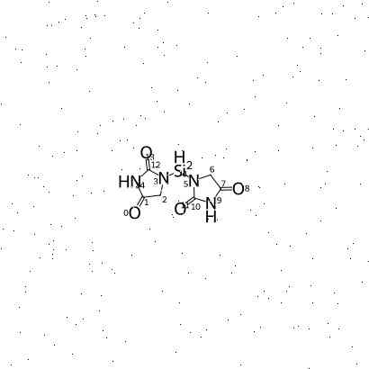 O=C1CN([SiH2]N2CC(=O)NC2=O)C(=O)N1